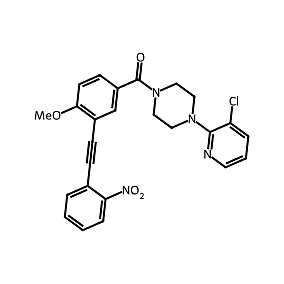 COc1ccc(C(=O)N2CCN(c3ncccc3Cl)CC2)cc1C#Cc1ccccc1[N+](=O)[O-]